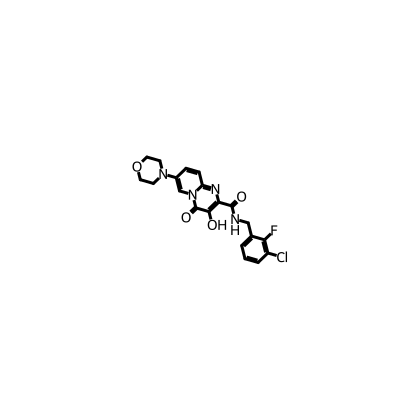 O=C(NCc1cccc(Cl)c1F)c1nc2ccc(N3CCOCC3)cn2c(=O)c1O